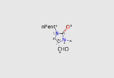 CCCCCN1C[C@@H](C=O)N(C)C1=O